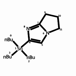 CCC[CH2][Sn]([CH2]CCC)([CH2]CCC)[c]1cn2c(n1)CCC2